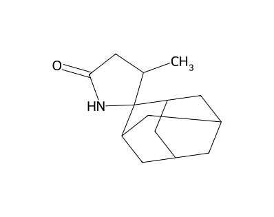 CC1CC(=O)NC12C1CC3CC(C1)CC2C3